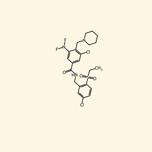 CCS(=O)(=O)c1ccc(Cl)cc1CNC(=O)c1cc(Cl)c(CN2CCCCC2)c(N(F)F)c1